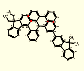 CCC1(CC)c2ccccc2-c2c(-c3ccccc3N(c3cccc(-c4ccc5c(c4)C(C)(C)c4ccccc4-5)c3)c3ccccc3-c3ccccc3)cccc21